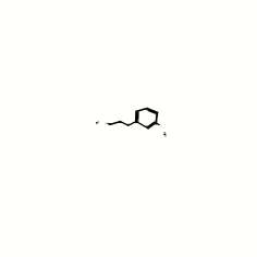 COCCCc1cc[c]c(OC)c1